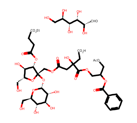 CCOC(=O)CCC(=O)O[C@H]1[C@H](O)[C@@H](CO)O[C@@]1(COC(=O)CC(O)(CC(=O)O)C(=O)OCC(COC(C)=O)OC(=O)c1ccccc1)O[C@H]1O[C@H](CO)[C@@H](O)[C@H](O)[C@H]1O.O=C[C@H](O)[C@@H](O)[C@H](O)[C@H](O)CO